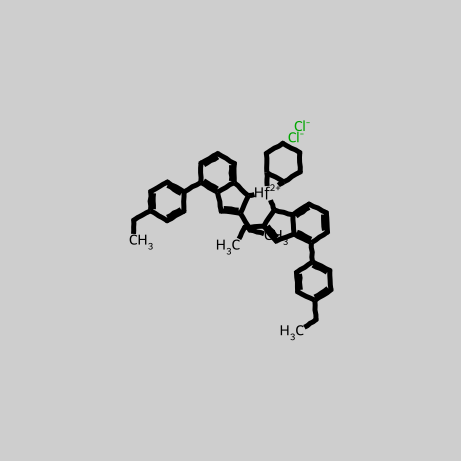 CCC1=Cc2c(-c3ccc(CC)cc3)cccc2[CH]1[Hf+2]1([CH]2C(CC)=Cc3c(-c4ccc(CC)cc4)cccc32)[CH]2CCCC[CH]21.[Cl-].[Cl-]